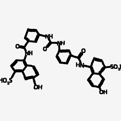 O=C(Nc1cccc(C(=O)Nc2ccc(S(=O)(=O)O)c3cc(O)ccc23)c1)Nc1cccc(C(=O)Nc2ccc(S(=O)(=O)O)c3cc(O)ccc23)c1